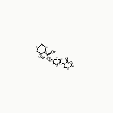 NC1CCCCC1C(=O)Nc1ccc(N2CCCOC2=O)cc1